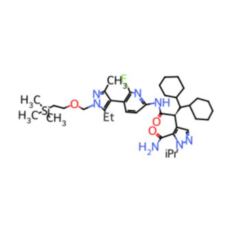 CCc1c(-c2ccc(NC(=O)[C@H](c3cnn(C(C)C)c3C(N)=O)C(C3CCCCC3)C3CCCCC3)nc2F)c(C)nn1COCC[Si](C)(C)C